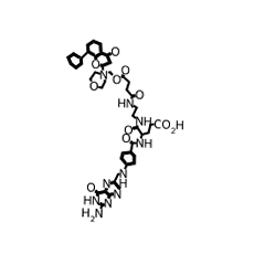 Nc1nc2ncc(CNc3ccc(C(=O)NC(CCC(=O)O)C(=O)NCCNC(=O)CCC(=O)OC[N+]4(c5cc(=O)c6cccc(-c7ccccc7)c6o5)CCOCC4)cc3)nc2c(=O)[nH]1